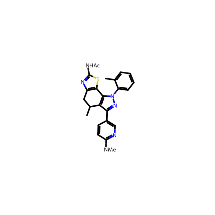 CNc1ccc(-c2nn(-c3ccccc3C)c3c2C(C)Cc2nc(NC(C)=O)sc2-3)cn1